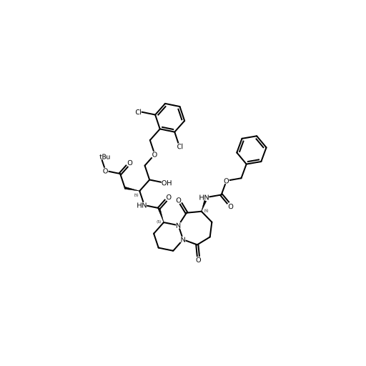 CC(C)(C)OC(=O)C[C@H](NC(=O)[C@@H]1CCCN2C(=O)CC[C@H](NC(=O)OCc3ccccc3)C(=O)N12)C(O)COCc1c(Cl)cccc1Cl